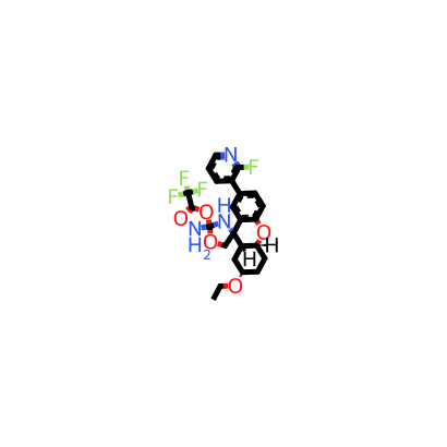 CCO[C@H]1CC[C@@H]2Oc3ccc(-c4cccnc4F)cc3C3(COC(N)(OC(=O)C(F)(F)F)N3)[C@H]2C1